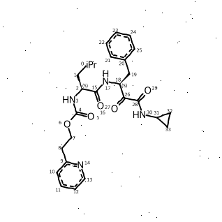 CC(C)C[C@H](NC(=O)OCCc1ccccn1)C(=O)N[C@@H](Cc1ccccc1)C(=O)C(=O)NC1CC1